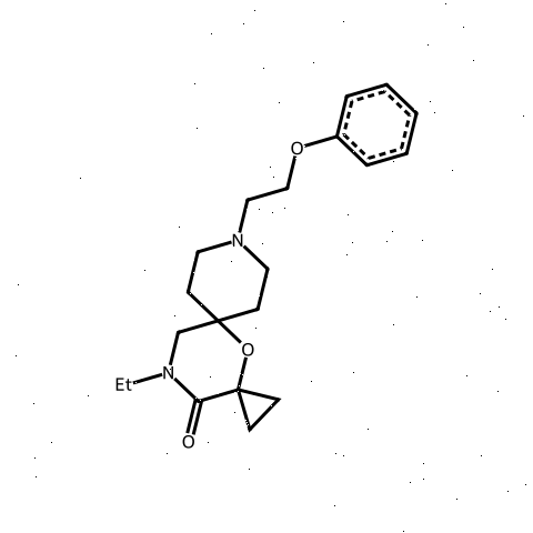 CCN1CC2(CCN(CCOc3ccccc3)CC2)OC2(CC2)C1=O